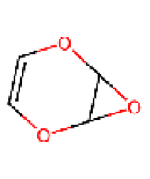 C1=COC2OC2O1